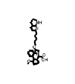 COc1cccc(C(C(=O)O)N2CC(OCCCCCc3ccc4c(n3)NCCC4)C2)c1-c1ccccc1